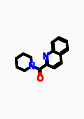 O=C(c1ccc2ccccc2n1)N1CCCCC1